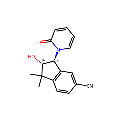 CC1(C)c2ccc(C#N)cc2[C@H](n2ccccc2=O)[C@H]1O